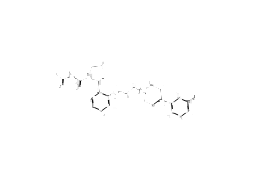 CC(=O)NC(=O)N1CCSC1c1ccccc1OCCN1CC=C(c2cccc(F)c2)CC1